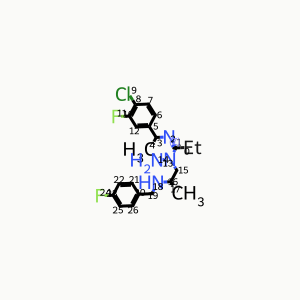 CC/C(=N/C(C)c1ccc(Cl)c(F)c1)N(N)CC(C)NCc1ccc(F)cc1